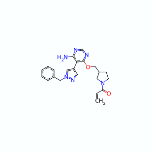 C=CC(=O)N1CCC(COc2ncnc(N)c2-c2cnn(Cc3ccccc3)c2)C1